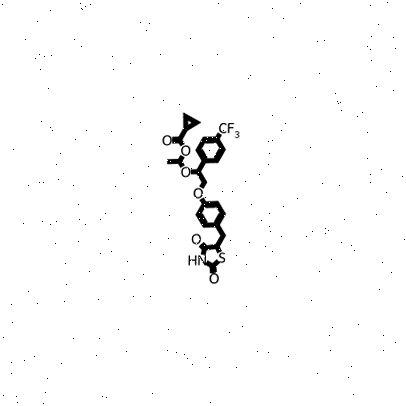 CC(OC(=O)C1CC1)OC(COc1ccc(CC2SC(=O)NC2=O)cc1)c1ccc(C(F)(F)F)cc1